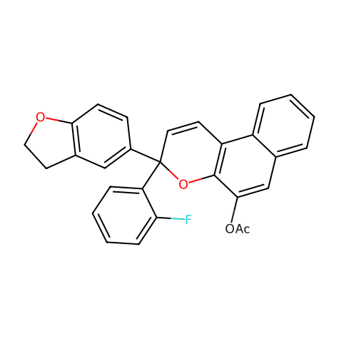 CC(=O)Oc1cc2ccccc2c2c1OC(c1ccc3c(c1)CCO3)(c1ccccc1F)C=C2